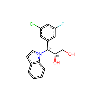 OC[C@@H](O)[C@H](c1cc(F)cc(Cl)c1)n1ccc2ccccc21